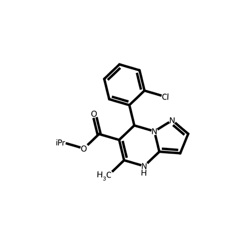 CC1=C(C(=O)OC(C)C)C(c2ccccc2Cl)n2nccc2N1